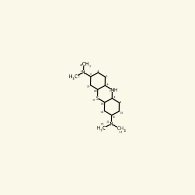 CN(C)C1CCC2NC3CCC(N(C)C)CC3SC2C1